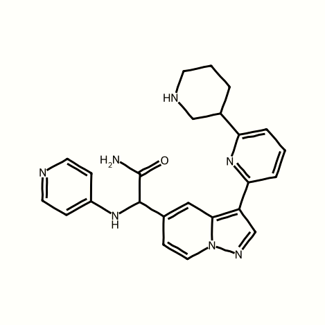 NC(=O)C(Nc1ccncc1)c1ccn2ncc(-c3cccc(C4CCCNC4)n3)c2c1